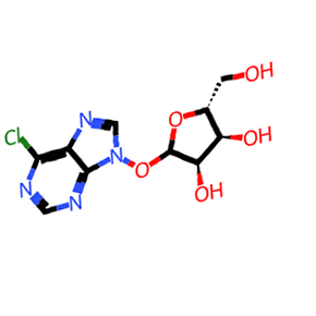 OC[C@H]1OC(On2cnc3c(Cl)ncnc32)[C@H](O)[C@@H]1O